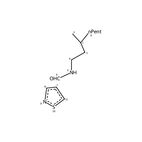 CCCCCC(C)CCNC=O.c1cnsc1